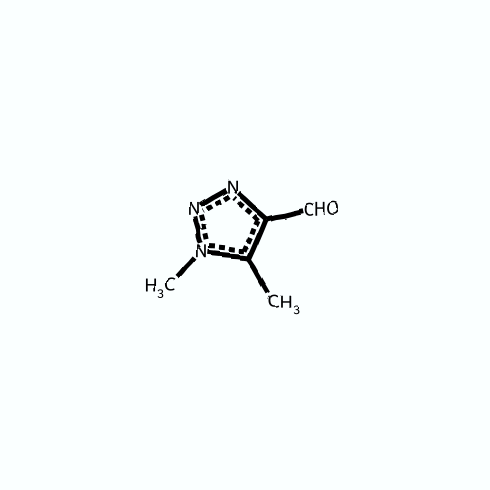 Cc1c(C=O)nnn1C